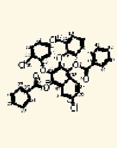 O=C(Oc1c(Oc2ccccc2Cl)c(Oc2ccccc2Cl)c(OC(=O)c2ccccc2)c2cc(Cl)ccc12)c1ccccc1